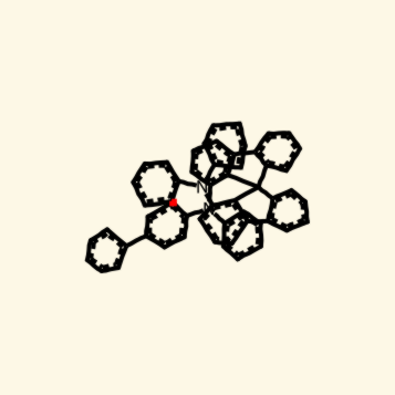 c1ccc(-c2ccc(N(c3ccccc3)c3cccc4c3C3(c5ccccc5-c5cccc(N(c6ccccc6)c6ccccc6)c53)c3ccccc3-4)cc2)cc1